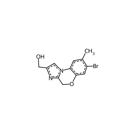 Cc1cc2c(cc1Br)OCc1nc(CO)cn1-2